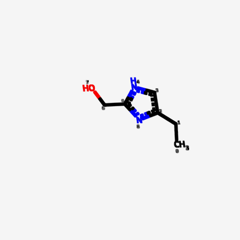 CCc1c[nH]c(CO)n1